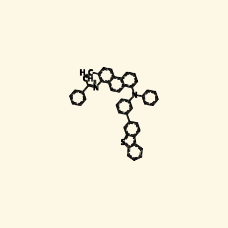 C/C(=N\c1c(C)ccc2c1ccc1c(N(c3ccccc3)c3cccc(-c4ccc5c(c4)sc4ccccc45)c3)cccc12)c1ccccc1